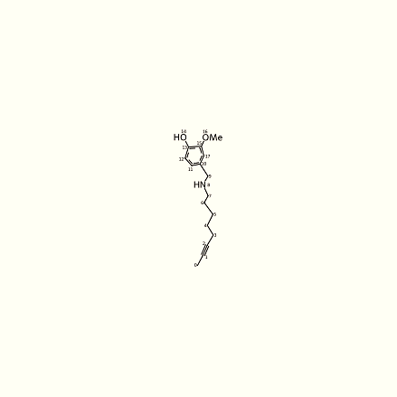 CC#CCCCCCNCc1ccc(O)c(OC)c1